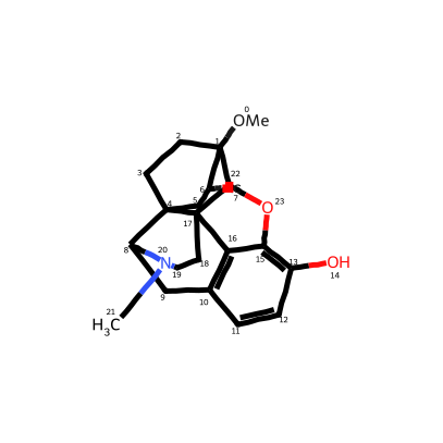 COC12CCC3(CC1C(C)=O)C1Cc4ccc(O)c5c4C3(CCN1C)C2O5